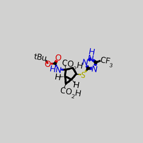 CC(C)(C)OC(=O)N[C@@]1(C(=O)O)C[C@@H](Sc2n[nH]c(C(F)(F)F)n2)[C@H]2[C@H](C(=O)O)[C@H]21